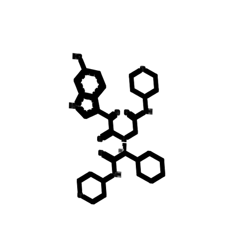 O=C(CN(C(=O)C(=O)c1c[nH]c2cc(O)ccc12)[C@@H](C(=O)NC1CCOCC1)C1CCCCC1)NC1CCOCC1